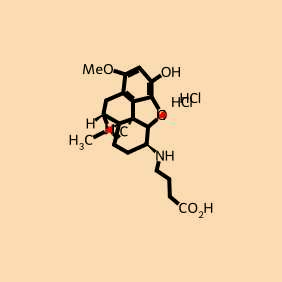 COc1cc(O)c2c3c1C[C@@H]1[C@@H]4CC[C@H](NCCCC(=O)O)[C@H](O2)[C@]34CCN1C.Cl.Cl